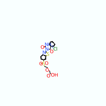 NC(=O)N(C(=O)c1ccccc1Cl)c1nc2ccc(S(=O)(=O)CCOCC(=O)O)cc2s1